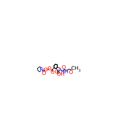 CC(=O)CCC(=O)N[C@H]1Cc2cccc(C(=O)OCOC(=O)N3CCCCC3)c2OB1O